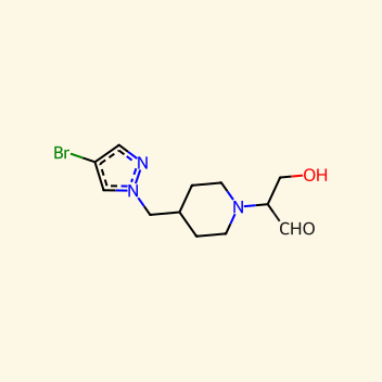 O=CC(CO)N1CCC(Cn2cc(Br)cn2)CC1